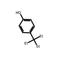 CCC(CC)(CC)c1ccc(O)cc1